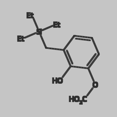 CC[Si](CC)(CC)Cc1cccc(OC(=O)O)c1O